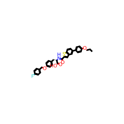 CCCOc1ccc(-c2ccc3sc(C(=O)N[C@@H](Cc4ccc(OCc5ccc(F)cc5)cc4)C(=O)O)cc3c2)cc1